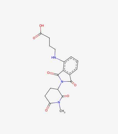 CN1C(=O)CCC(N2C(=O)c3cccc(NCCCC(=O)O)c3C2=O)C1=O